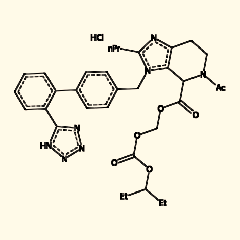 CCCc1nc2c(n1Cc1ccc(-c3ccccc3-c3nnn[nH]3)cc1)C(C(=O)OCOC(=O)OC(CC)CC)N(C(C)=O)CC2.Cl